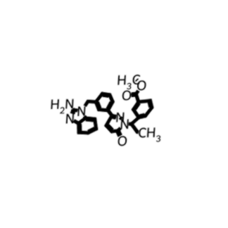 CCC(c1cccc(C(=O)OC)c1)n1nc(-c2cccc(Cn3c(N)nc4ccccc43)c2)ccc1=O